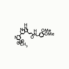 COc1ccc(CNC(=O)/C=C/c2c[nH]c3ncc(-c4cncc(S(C)(=O)=O)c4)cc23)cc1OC